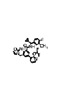 Cc1cc(C(NC(=O)c2cc(Cn3ccoc3=N)cc(-c3cccnc3OC(F)F)c2)C2CC2)ccc1F